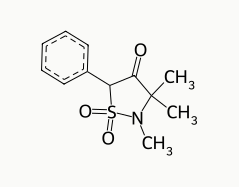 CN1C(C)(C)C(=O)C(c2ccccc2)S1(=O)=O